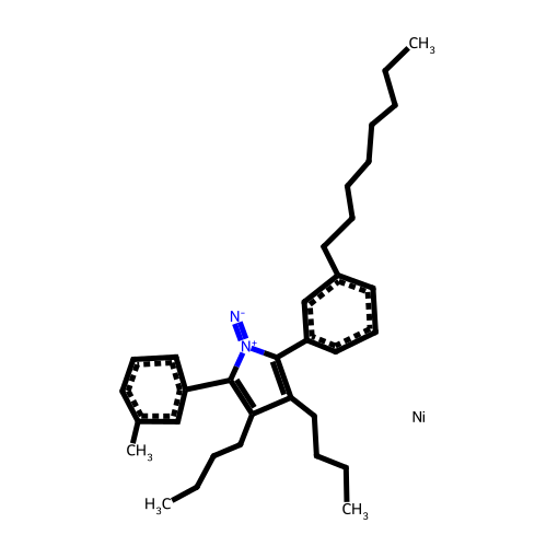 CCCCCCCCc1cccc(C2=C(CCCC)C(CCCC)=C(c3cccc(C)c3)[N+]2=[N-])c1.[Ni]